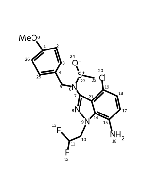 COc1ccc(CN(c2nn(CC(F)F)c3c(N)ccc(Cl)c23)[S+](C)[O-])cc1